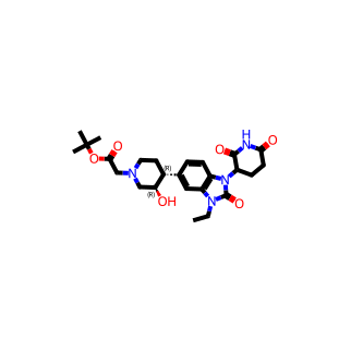 CCn1c(=O)n(C2CCC(=O)NC2=O)c2ccc([C@H]3CCN(CC(=O)OC(C)(C)C)C[C@@H]3O)cc21